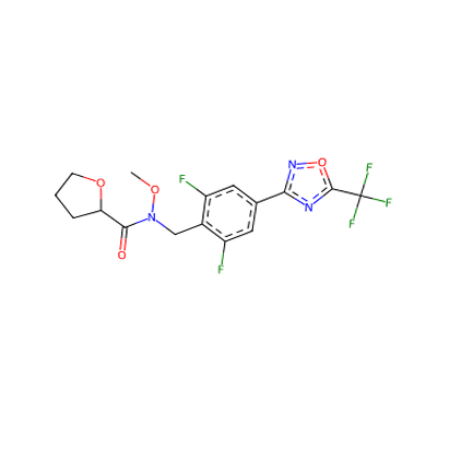 CON(Cc1c(F)cc(-c2noc(C(F)(F)F)n2)cc1F)C(=O)C1CCCO1